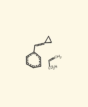 C(=C1CC1)c1ccccc1.C=CC(=O)O